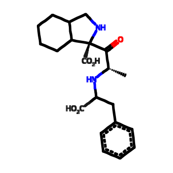 C[C@H](NC(Cc1ccccc1)C(=O)O)C(=O)[C@@]1(C(=O)O)NCC2CCCCC21